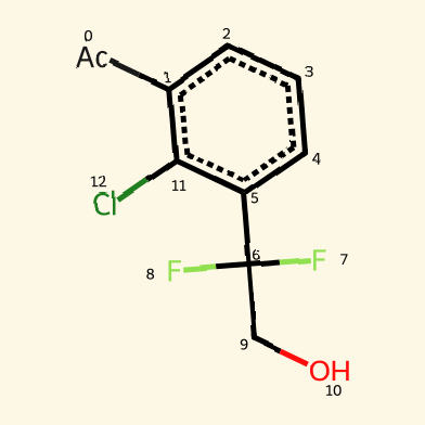 CC(=O)c1cccc(C(F)(F)CO)c1Cl